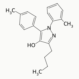 CCCCc1nn(-c2ccccc2C)c(-c2ccc(C)cc2)c1O